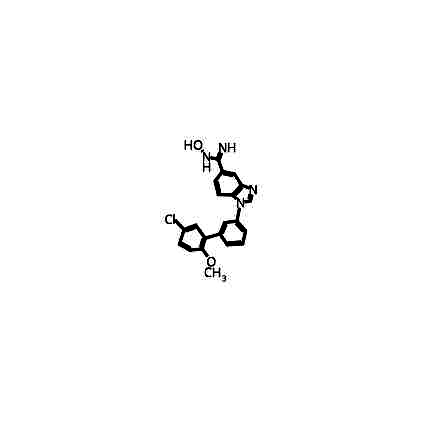 COc1ccc(Cl)cc1-c1cccc(-n2cnc3cc(C(=N)NO)ccc32)c1